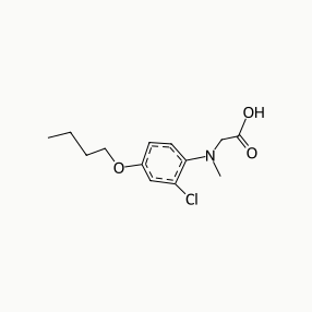 CCCCOc1ccc(N(C)CC(=O)O)c(Cl)c1